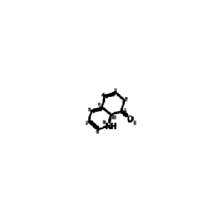 O=C1CC=CC2=CC=CNC12